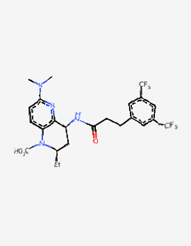 CC[C@@H]1C[C@H](NC(=O)CCc2cc(C(F)(F)F)cc(C(F)(F)F)c2)c2nc(N(C)C)ccc2N1C(=O)O